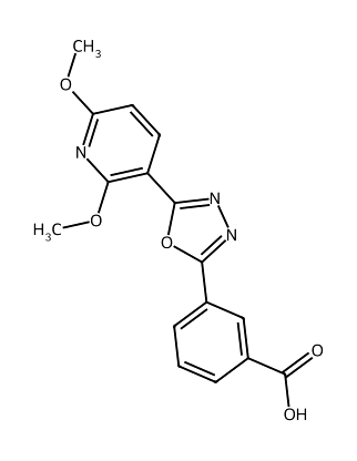 COc1ccc(-c2nnc(-c3cccc(C(=O)O)c3)o2)c(OC)n1